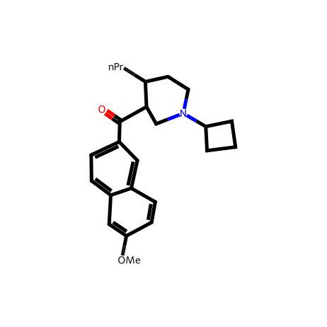 CCCC1CCN(C2CCC2)CC1C(=O)c1ccc2cc(OC)ccc2c1